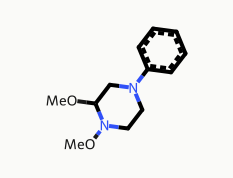 COC1CN(c2ccccc2)CCN1OC